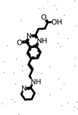 O=C(O)CCc1nc(=O)c2cc(/C=C/CNC3=NCCCC3)ccc2[nH]1